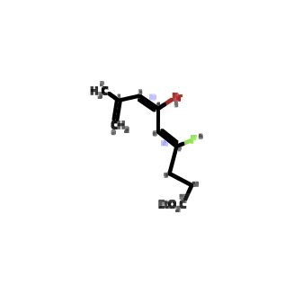 C=C(C)/C=C(Br)\C=C(/F)CCC(=O)OCC